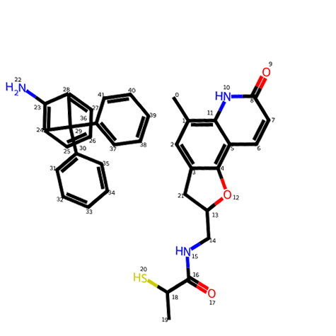 Cc1cc2c(c3ccc(=O)[nH]c13)OC(CNC(=O)C(C)S)C2.Nc1c2cccc1C2(c1ccccc1)c1ccccc1